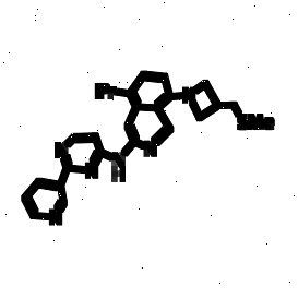 CSCC1CN(c2ccc(C(C)C)c3cc(Nc4ccnc(-c5cccnc5)n4)ncc23)C1